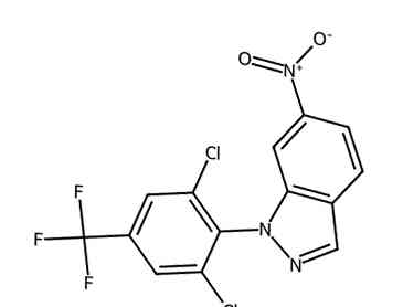 O=[N+]([O-])c1ccc2cnn(-c3c(Cl)cc(C(F)(F)F)cc3Cl)c2c1